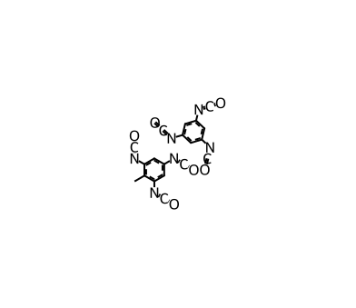 Cc1c(N=C=O)cc(N=C=O)cc1N=C=O.O=C=Nc1cc(N=C=O)cc(N=C=O)c1